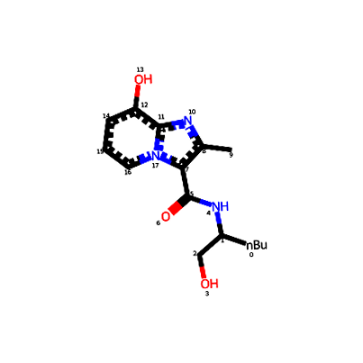 CCCCC(CO)NC(=O)c1c(C)nc2c(O)cccn12